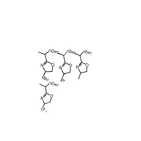 CCCCCCCCCCC(C)C1=NC(C(C)(C)C)CO1.CCCCCCCCCCC(C)C1=NC(C(C)C)CO1.CCCCCCCCCCC(C)C1=NC(C(F)(F)F)CO1.CCCCCCCCCCC(C)C1=NC(C)CO1